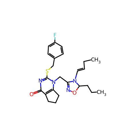 CC/C=C/N1C(Cn2c(SCc3ccc(F)cc3)nc(=O)c3c2CCC3)=NOC1CCC